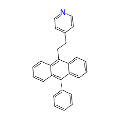 c1ccc(-c2c3ccccc3c(CCc3ccncc3)c3ccccc23)cc1